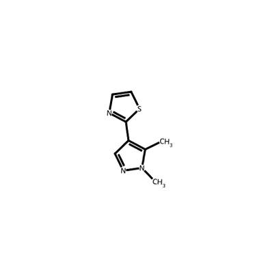 Cc1c(-c2nccs2)cnn1C